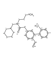 CCCCN(CC1CCCCC1)C(=O)Cc1ccc(C=O)c(-c2ccccc2C)c1